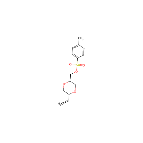 C=C[C@@H]1CO[C@@H](COS(=O)(=O)c2ccc(C)cc2)CO1